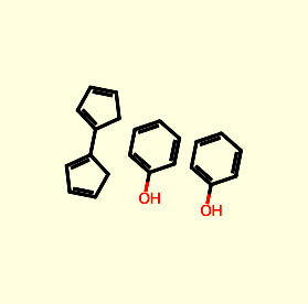 C1=CCC(C2=CC=CC2)=C1.Oc1ccccc1.Oc1ccccc1